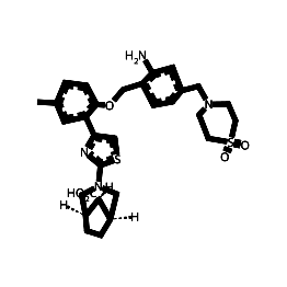 Cc1ccc(OCc2ccc(CN3CCS(=O)(=O)CC3)cc2N)c(-c2csc(N3C[C@H]4CC[C@@H](C3)[C@H]4C(=O)O)n2)c1